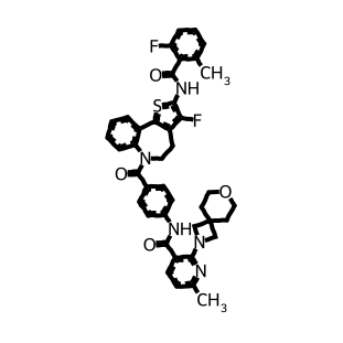 Cc1ccc(C(=O)Nc2ccc(C(=O)N3CCc4c(sc(NC(=O)c5c(C)cccc5F)c4F)-c4ccccc43)cc2)c(N2CC3(CCOCC3)C2)n1